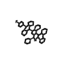 Fc1ccc(-c2c3ccccc3c(-c3cc4c(-c5ccccc5)nc5c6ccccc6c6ccccc6c5c4c4ccccc34)c3ccccc23)cc1